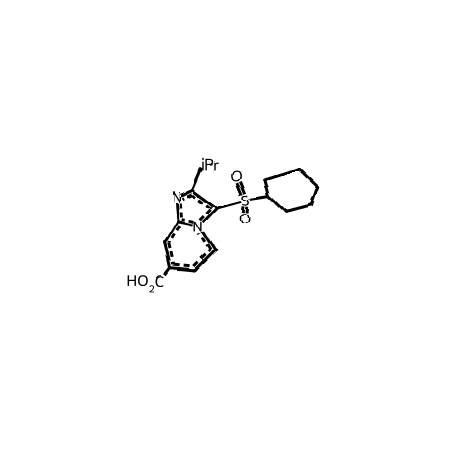 CC(C)c1nc2cc(C(=O)O)ccn2c1S(=O)(=O)C1CCCCC1